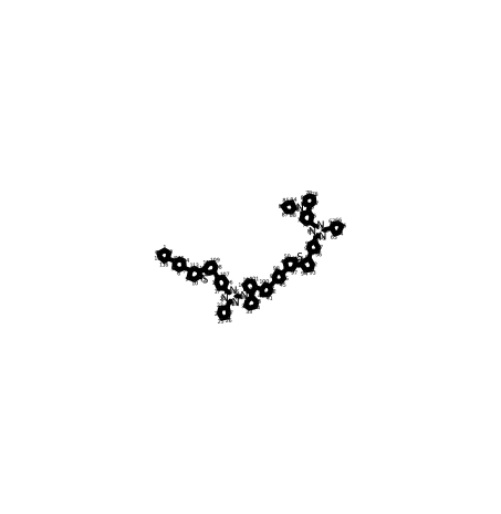 c1ccc(-c2ccc(-c3ccc4sc5c(-c6ccc(-c7nc(-c8ccccc8)nc(-n8c9ccccc9c9c(-c%10cccc(-c%11ccc(-c%12ccc%13sc%14c(-c%15ccc(-c%16nc(-c%17ccccc%17)nc(-c%17ccc%18c(c%17)c%17ccccc%17n%18-c%17ccccc%17)n%16)cc%15)cccc%14c%13c%12)cc%11)c%10)cccc98)n7)cc6)cccc5c4c3)cc2)cc1